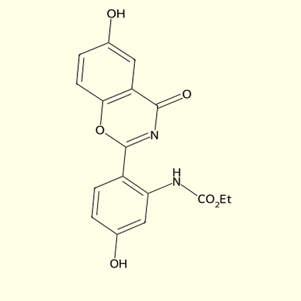 CCOC(=O)Nc1cc(O)ccc1-c1nc(=O)c2cc(O)ccc2o1